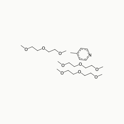 COCCOCCOC.COCCOCCOC.COCCOCCOC.Cc1ccncc1